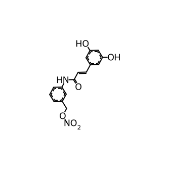 O=C(C=Cc1cc(O)cc(O)c1)Nc1cccc(CO[N+](=O)[O-])c1